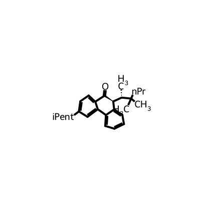 CCCC(C)c1ccc2c(c1)-c1ccccc1[C@H]([C@H](C)C(C)(C)CCC)C2=O